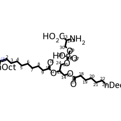 CCCCCCCC/C=C\CCCCCCCC(=O)OC(COC(=O)CCCCCCCCCCCCCCC)COP(=O)(O)OCC(N)C(=O)O